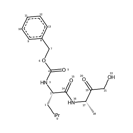 CC(C)C[C@H](NC(=O)OCc1ccccc1)C(=O)N[C@@H](C)C(=O)CO